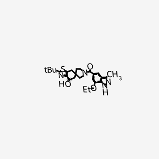 CCOc1cc(C(=O)N2CCC3(CC2)Cc2sc(C(C)(C)C)nc2[C@H](O)C3)cc2c(C)n[nH]c12